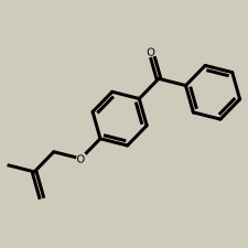 C=C(C)COc1ccc(C(=O)c2ccccc2)cc1